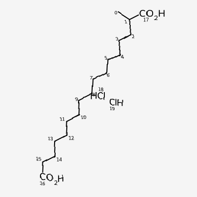 CC(CCCCCCCCCCCCCCC(=O)O)C(=O)O.Cl.Cl